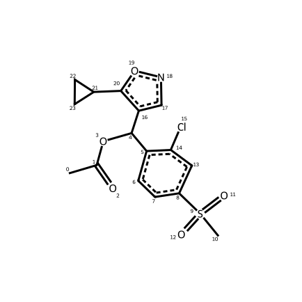 CC(=O)OC(c1ccc(S(C)(=O)=O)cc1Cl)c1cnoc1C1CC1